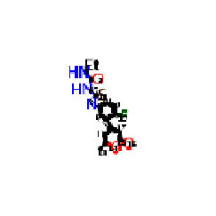 CCNC(=O)Nc1nc2cc(-c3cc(C)oc(=O)c3)c(F)cc2s1